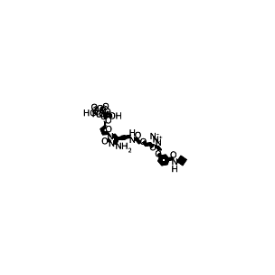 [N-]=[N+]=NC(COc1cccc(C(=O)NC2CCC2)c1)OCCOCC(=O)NCC#Cc1cn([C@H]2CC[C@@H](COP(=O)(O)OP(=O)(O)OP(=O)(O)O)O2)c(=O)nc1N